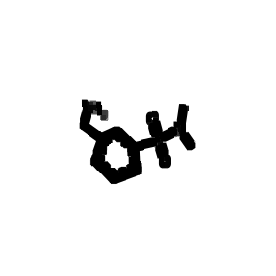 CN(C)S(=O)(=O)c1cccc(CN)c1